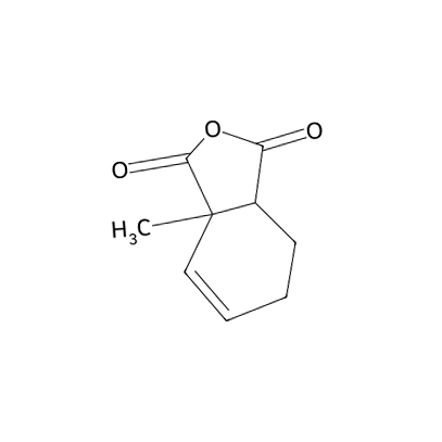 CC12C=CCCC1C(=O)OC2=O